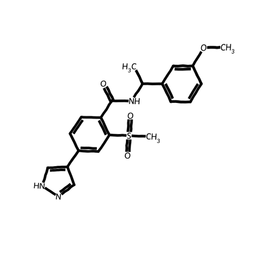 COc1cccc(C(C)NC(=O)c2ccc(-c3cn[nH]c3)cc2S(C)(=O)=O)c1